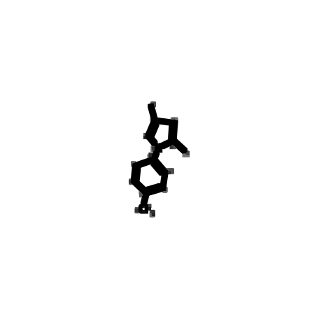 Cc1[c]n(-c2ccc(C(F)(F)F)cc2)c(C)c1